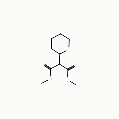 COC(=O)C(C(=O)OC)C1CCCCO1